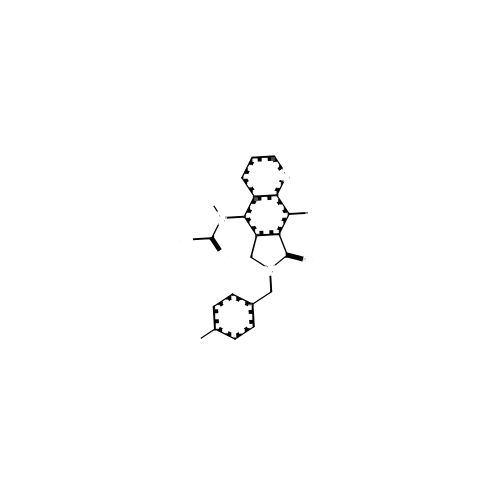 CC(C)C(=O)N(C)c1c2c(c(O)c3ncccc13)C(=O)N(Cc1ccc(F)cc1)C2